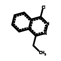 CCc1nnc(Cl)c2ccccc12